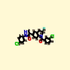 CC(C(=O)Nc1ccc(Cl)cc1)c1ccc2c(c1)CC(F)CN2C(=O)c1cccc(Cl)c1